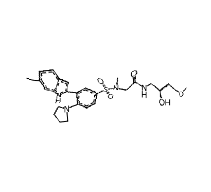 COC[C@@H](O)CNC(=O)CN(C)S(=O)(=O)c1ccc(N2CCCC2)c(-c2cc3ccc(C)cc3[nH]2)c1